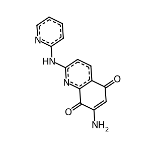 NC1=CC(=O)c2ccc(Nc3ccccn3)nc2C1=O